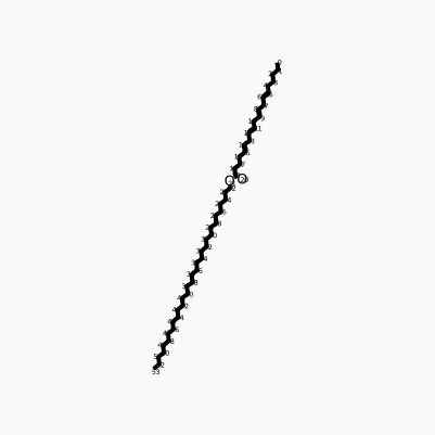 CCCCCC=CCC=CCC=CCC=CCCCC(=O)OCCCCCCCCCCCCCCCCCCCCCCCCCCCCCCCC